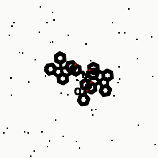 c1ccc(C2(c3ccccc3)c3ccccc3-c3cccc(-c4cccc(N(c5cccc(-c6cccc7c6C(c6ccccc6)(c6ccccc6)c6ccccc6-7)c5)c5ccc6c(c5)oc5ccccc56)c4)c32)cc1